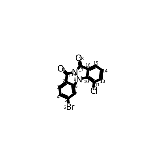 O=c1c2ccc(Br)cc2n2c3c(Cl)cccc3c(=O)n12